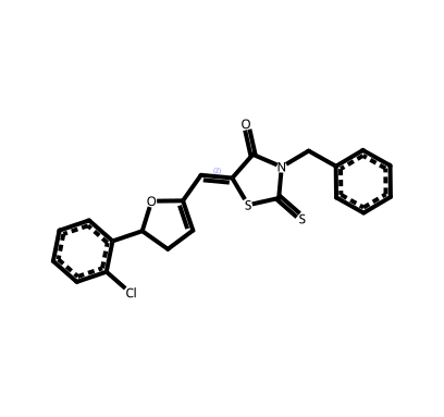 O=C1/C(=C/C2=CCC(c3ccccc3Cl)O2)SC(=S)N1Cc1ccccc1